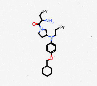 CC(C)CCN(c1ccc(OCC2CCCCC2)cc1)[C@H]1CCN(C(=O)C(N)CC(C)C)C1